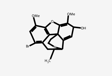 COC1=C2Oc3c(OC)cc(Br)c4c3C23CCN(C)C(C4)C3=CC1O